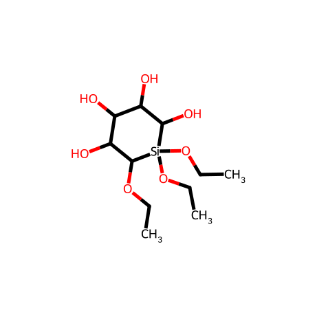 CCOC1C(O)C(O)C(O)C(O)[Si]1(OCC)OCC